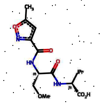 COC[C@H](NC(=O)c1cc(C)on1)C(=O)N[C@H](C(=O)O)C(C)C